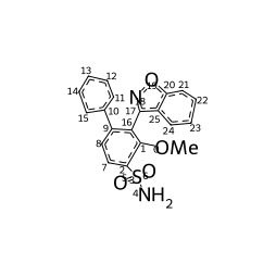 COc1c(S(N)(=O)=O)ccc(-c2ccccc2)c1-c1noc2ccccc12